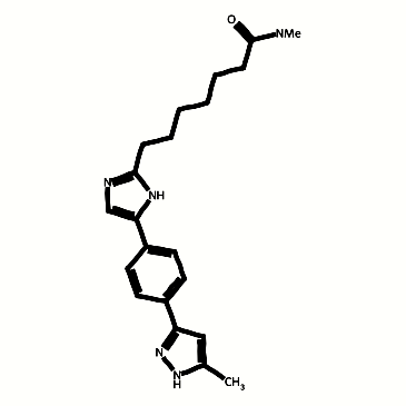 CNC(=O)CCCCCCc1ncc(-c2ccc(-c3cc(C)[nH]n3)cc2)[nH]1